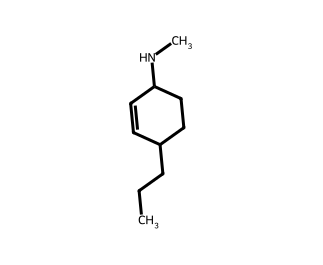 CCCC1C=CC(NC)CC1